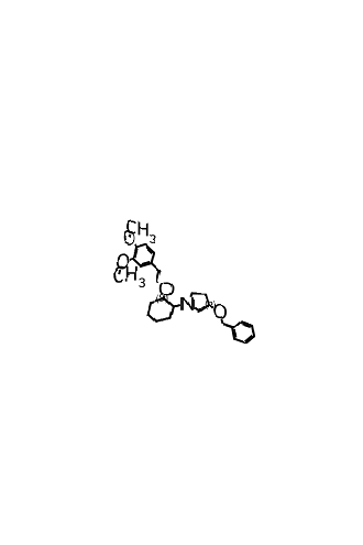 COc1ccc(CCO[C@H]2CCCCC2N2CC[C@@H](OCc3ccccc3)C2)cc1OC